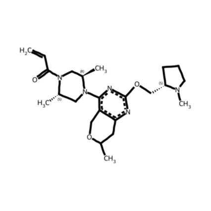 C=CC(=O)N1C[C@@H](C)N(c2nc(OC[C@@H]3CCCN3C)nc3c2COC(C)C3)C[C@@H]1C